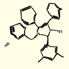 Br.CCN1C(c2ccccc2)=C(c2ccccc2)N(Cc2ccccc2)C1c1cc(C)cc(C)c1